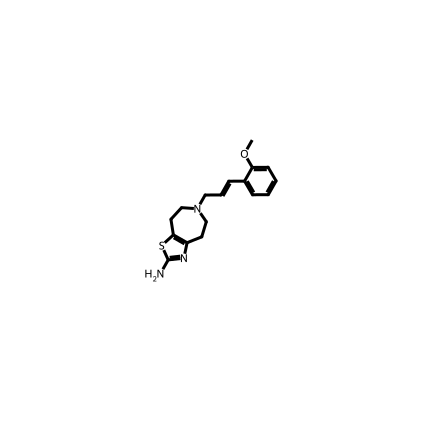 COc1ccccc1C=CCN1CCc2nc(N)sc2CC1